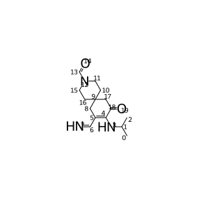 CC(C)NC1=C(C=N)CC2(CCN(C=O)CC2)CC1=O